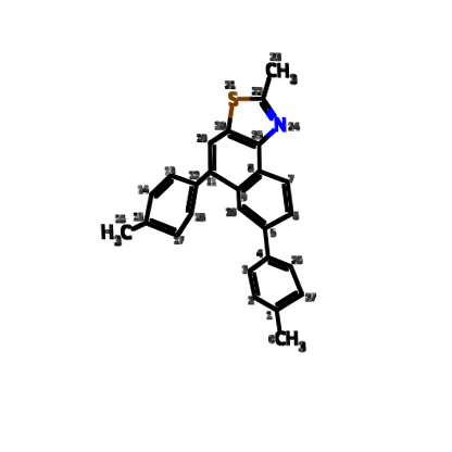 Cc1ccc(-c2ccc3c(c2)c(-c2ccc(C)cc2)cc2sc(C)nc23)cc1